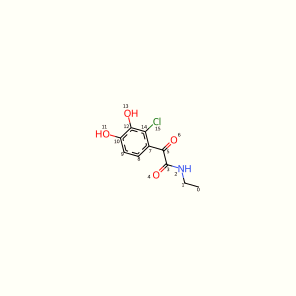 CCNC(=O)C(=O)c1ccc(O)c(O)c1Cl